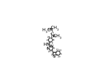 CN(C)CCN(C)c1ccc(Nc2ncc(-c3csc4ccccc34)cn2)cc1